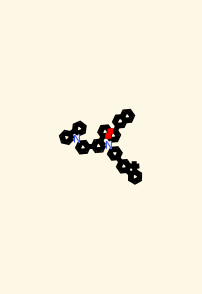 CC1(C)c2ccccc2-c2ccc(-c3ccc(N(c4ccc(-c5ccc6ccccc6c5)cc4)c4ccc(-c5cccc(-n6c7ccccc7c7ccccc76)c5)cc4-c4ccccc4)cc3)cc21